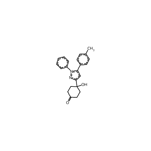 Cc1ccc(-c2cc(C3(O)CCC(=O)CC3)nn2-c2ccccc2)cc1